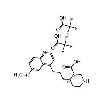 COc1ccc2nccc(CCC[C@@H]3CCNC[C@@H]3C(=O)O)c2c1.O=C(O)C(F)(F)F.O=C(O)C(F)(F)F